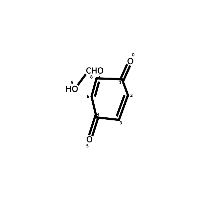 O=C1C=CC(=O)C=C1.O=CO